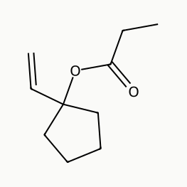 C=CC1(OC(=O)CC)CCCC1